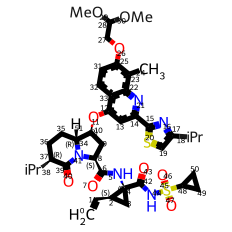 C=C[C@@H]1C[C@]1(NC(=O)[C@@H]1C[C@@H](Oc2cc(-c3nc(C(C)C)cs3)nc3c(C)c(OCC(OC)OC)ccc23)[C@H]2CC[C@H](C(C)C)C(=O)N21)C(=O)NS(=O)(=O)C1CC1